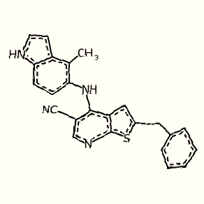 Cc1c(Nc2c(C#N)cnc3sc(Cc4ccccc4)cc23)ccc2[nH]ccc12